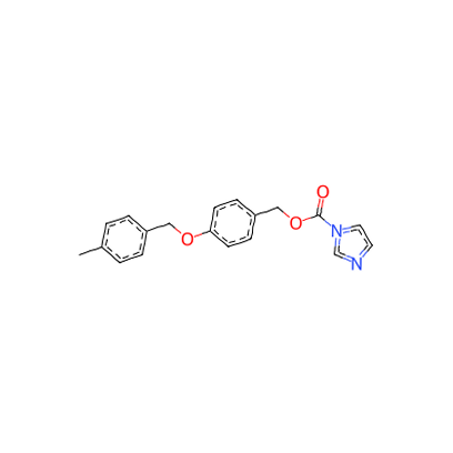 Cc1ccc(COc2ccc(COC(=O)n3ccnc3)cc2)cc1